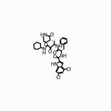 O=C(NC1CCCCC1)C(=O)C(C[C@@H]1CCCNC1=O)NC(=O)[C@H](Cc1ccccc1)NC(=O)c1cc2c(Cl)cc(Cl)cc2[nH]1